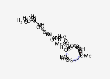 COC1C[C@@H]2CC[C@@H](C)[C@@](O)(O2)C(=O)C(=O)N2CCCCC2C(=O)OC(C(N)CC2CCC(OCc3cccc(-c4cnc(N5CCN(C(=O)CCc6cn(CCOCCOCCC(=O)NCCCCn7nc(-c8ccc9oc(N)nc9c8)c8c(N)ncnc87)nn6)CC5)nc4)c3)[C@H](OC)C2)CC(=O)C(C)/C=C(\C)C(O)[C@@H](O)C(=O)C(C)CC(C)/C=C/C=C/C=C/1C